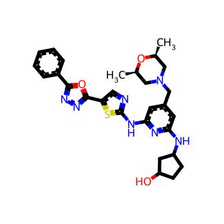 C[C@@H]1CN(Cc2cc(Nc3ncc(-c4nnc(-c5ccccc5)o4)s3)nc(NC3CCC(O)C3)c2)C[C@H](C)O1